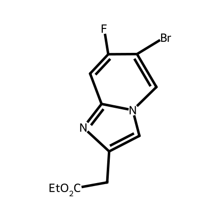 CCOC(=O)Cc1cn2cc(Br)c(F)cc2n1